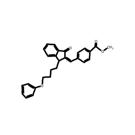 COC(=O)c1ccc(/C=C2\C(=O)c3ccccc3C2CCCCOc2ccccc2)cc1